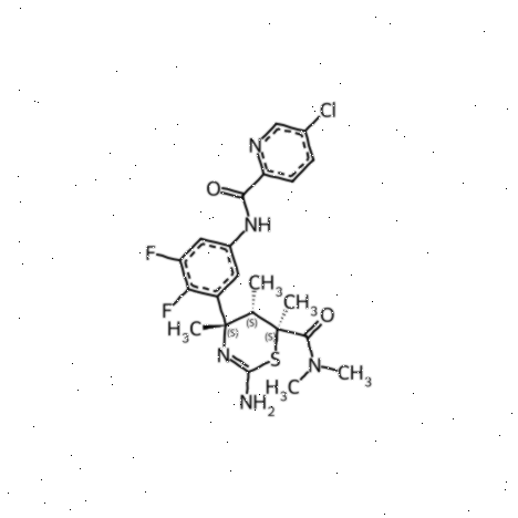 C[C@@H]1[C@@](C)(C(=O)N(C)C)SC(N)=N[C@]1(C)c1cc(NC(=O)c2ccc(Cl)cn2)cc(F)c1F